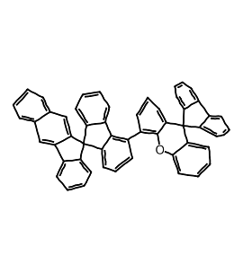 c1ccc2c(c1)Oc1c(-c3cccc4c3-c3ccccc3C43c4ccccc4-c4cc5ccccc5cc43)cccc1C21c2ccccc2-c2ccccc21